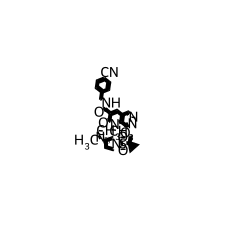 CN(C)[C@@H]1CCN(S(=O)(=O)C2(COc3nncc4cc(C(=O)NCc5ccc(C#N)cc5)c(=O)n(C)c34)CC2)C1